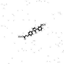 COC(=O)CCc1ccc(-n2ccn(-c3cccc(CC#N)c3)c2=O)cc1